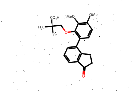 COc1ccc(-c2cccc3c2CCC3=O)c(OC[C@](C)(C(=O)O)C(C)C)c1OC